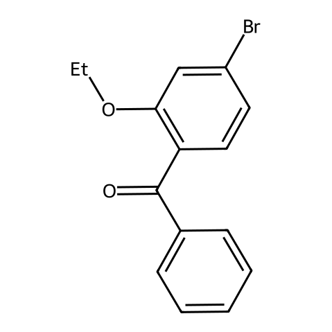 CCOc1cc(Br)ccc1C(=O)c1ccccc1